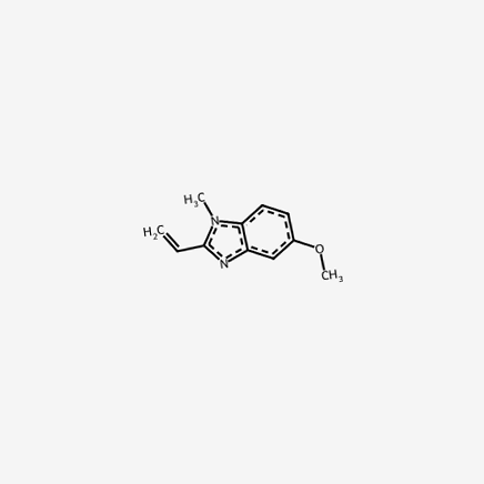 C=Cc1nc2cc(OC)ccc2n1C